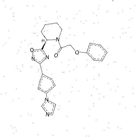 O=C(COc1ccccc1)N1CCCC[C@@H]1c1nc(-c2ccc(-n3ccnc3)cc2)no1